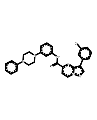 O=C(Nc1cccc(N2CCN(c3ccccc3)CC2)c1)c1ccn2ncc(-c3cccc(Cl)c3)c2n1